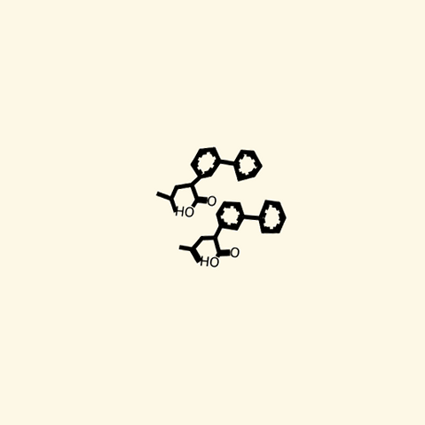 C=C(C)CC(C(=O)O)c1cccc(-c2ccccc2)c1.CC(C)CC(C(=O)O)c1cccc(-c2ccccc2)c1